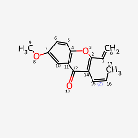 C=Cc1oc2ccc(OC)cc2c(=O)c1/C=C\C